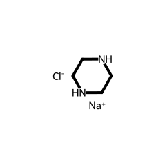 C1CNCCN1.[Cl-].[Na+]